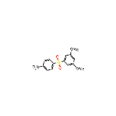 COc1cc(OC)cc(S(=O)(=O)c2ccc([N+](=O)[O-])cc2)c1